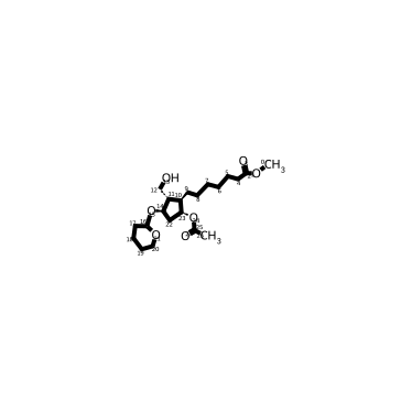 COC(=O)CCCCCC[C@@H]1[C@@H](CO)[C@H](OC2CCCCO2)C[C@H]1OC(C)=O